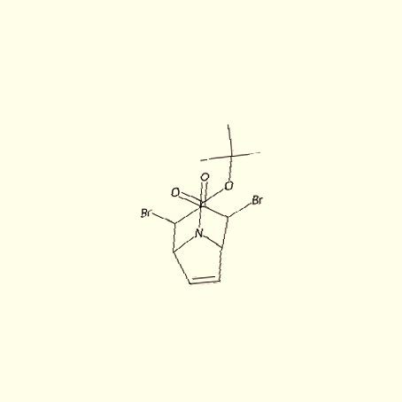 CC(C)(C)OC(=O)N1C2C=CC1C(Br)C(=O)C2Br